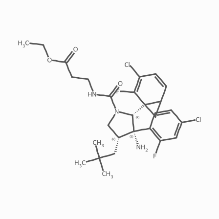 CCOC(=O)CCNC(=O)N1C[C@@H](CC(C)(C)C)[C@](N)(c2ccc(Cl)cc2F)[C@H]1C12CC1C=CC(Cl)=C2F